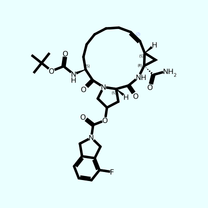 CC(C)(C)OC(=O)N[C@H]1CCCCC/C=C\[C@@H]2C[C@@]2(C(N)=O)NC(=O)[C@@H]2CC(OC(=O)N3Cc4cccc(F)c4C3)CN2C1=O